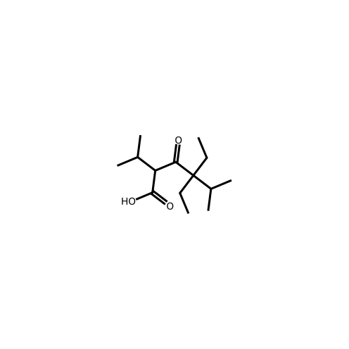 CCC(CC)(C(=O)C(C(=O)O)C(C)C)C(C)C